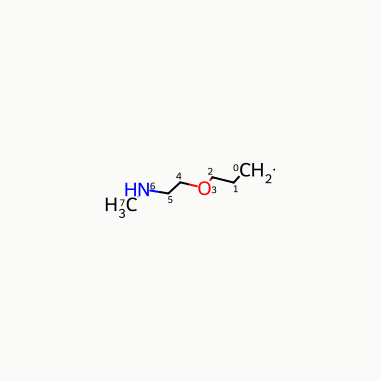 [CH2]CCOCCNC